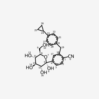 N#Cc1ccc([C@]2(O)O[C@H](CO)[C@@H](O)[C@H](O)[C@H]2O)cc1Cc1ccc(C2CC2)cc1